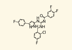 O=C(/N=C(/NCc1ccc(F)cc1Cl)Nc1cc(-c2ccc(F)cc2)n[nH]1)c1ccc(F)c(F)c1